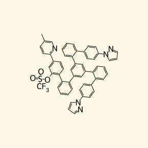 Cc1ccc(-c2ccc(-c3ccccc3-c3cc(-c4ccccc4-c4ccc(-n5cccn5)cc4)cc(-c4ccccc4-c4ccc(-n5cccn5)cc4)c3)c(OS(=O)(=O)C(F)(F)F)c2)nc1